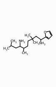 CC(C)CC(N)C(C)CCC(C)(C)CC(N)c1ccco1